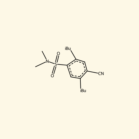 CCC(C)c1cc(S(=O)(=O)N(C)C)c(C(C)CC)cc1C#N